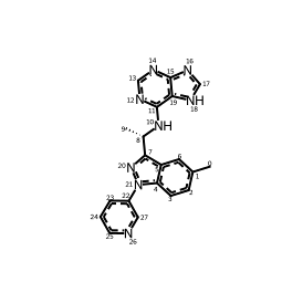 Cc1ccc2c(c1)c([C@H](C)Nc1ncnc3nc[nH]c13)nn2-c1cccnc1